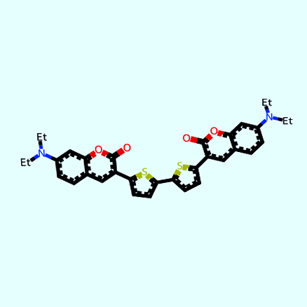 CCN(CC)c1ccc2cc(-c3ccc(-c4ccc(-c5cc6ccc(N(CC)CC)cc6oc5=O)s4)s3)c(=O)oc2c1